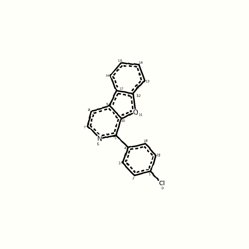 Clc1ccc(-c2nccc3c2oc2ccccc23)cc1